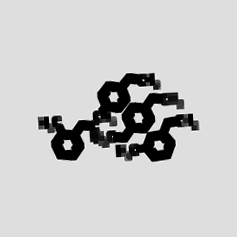 C=Cc1ccc(C)cc1.C=Cc1ccc(C=C)cc1.C=Cc1cccc(C)c1.C=Cc1ccccc1C